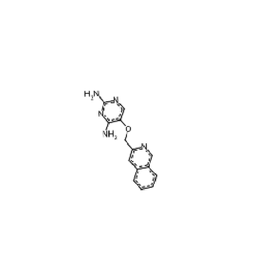 Nc1ncc(OCc2cc3ccccc3cn2)c(N)n1